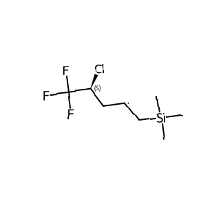 C[Si](C)(C)C[CH]C[C@H](Cl)C(F)(F)F